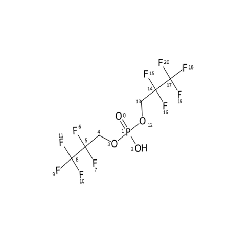 O=P(O)(OCC(F)(F)C(F)(F)F)OCC(F)(F)C(F)(F)F